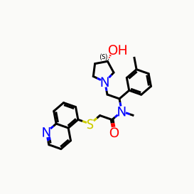 Cc1cccc(C(CN2CC[C@H](O)C2)N(C)C(=O)CSc2cccc3ncccc23)c1